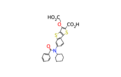 O=C(O)COc1c(C(=O)O)sc2c1sc1cc(N(C(=O)c3ccccc3)C3CCCCC3)ccc12